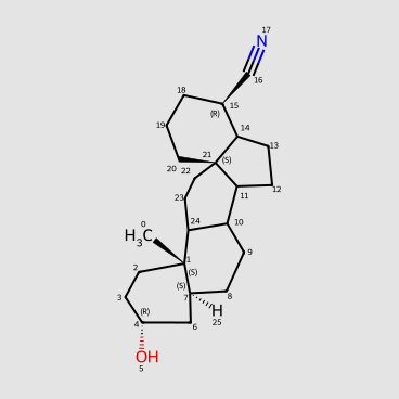 C[C@]12CC[C@@H](O)C[C@@H]1CCC1C3CCC4[C@H](C#N)CCC[C@]34CCC12